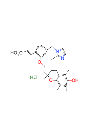 Cc1c(C)c2c(c(C)c1O)CCC(C)(CCOc1cc(Cn3ccnc3C)ccc1C=CC(=O)O)O2.Cl